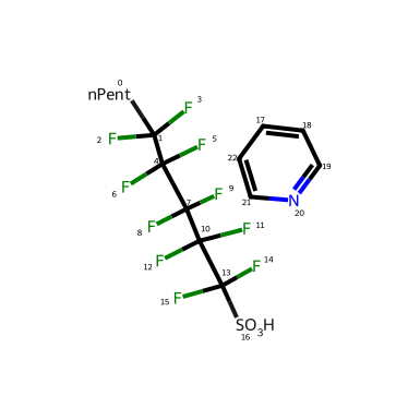 CCCCCC(F)(F)C(F)(F)C(F)(F)C(F)(F)C(F)(F)S(=O)(=O)O.c1ccncc1